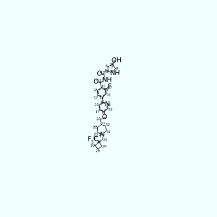 O=C(NC(=O)[C@@H]1C[C@@H](O)CN1)c1ccc(-c2ccc(OCC3CCN(CC4(C(F)(F)F)CCC4)CC3)cn2)cc1F